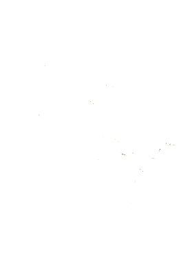 CO[C@]1(C(F)(F)F)C[C@H](C(=O)Nc2cc(C(CCC3CC3)(N[S@+]([O-])C(C)(C)C)c3ccncc3)ccc2F)N(C(=O)OC(C)(C)C)C1